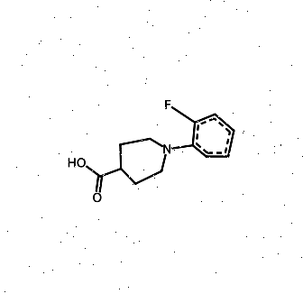 O=C(O)C1CCN(c2ccccc2F)CC1